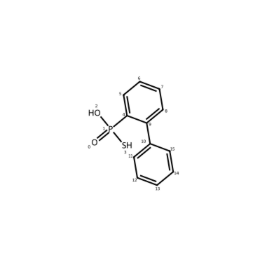 O=P(O)(S)c1ccccc1-c1ccccc1